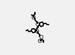 C=CC(=O)OCCCOC1(C#CC2(OCCCOC(C)C=C)CCC(CCC)CC2)CCC(CCC)CC1